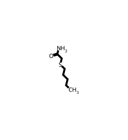 CCCCCSCC(N)=O